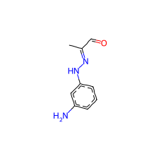 C/C(C=O)=N\Nc1cccc(N)c1